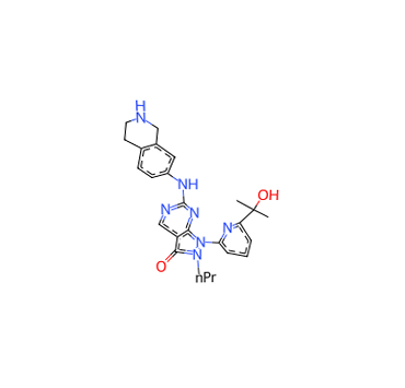 CCCn1c(=O)c2cnc(Nc3ccc4c(c3)CNCC4)nc2n1-c1cccc(C(C)(C)O)n1